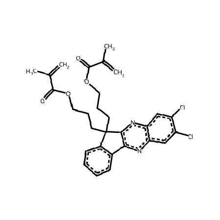 C=C(C)C(=O)OCCCC1(CCCOC(=O)C(=C)C)c2ccccc2-c2nc3cc(Cl)c(Cl)cc3nc21